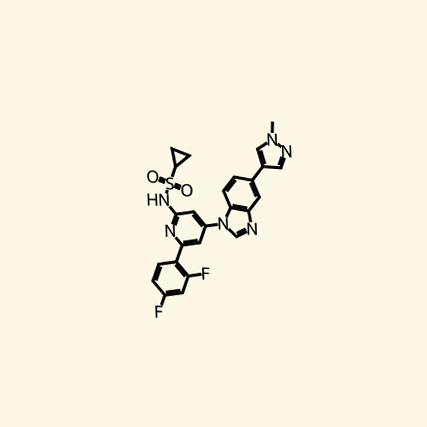 Cn1cc(-c2ccc3c(c2)ncn3-c2cc(NS(=O)(=O)C3CC3)nc(-c3ccc(F)cc3F)c2)cn1